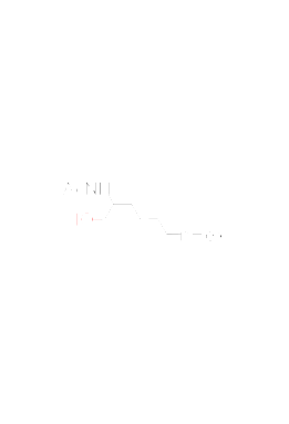 CCCCCCCCCCC(CO)NC(C)=O